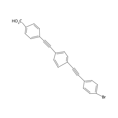 O=C(O)c1ccc(C#Cc2ccc(C#Cc3ccc(Br)cc3)cc2)cc1